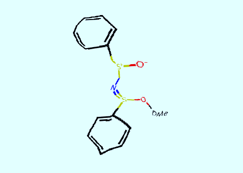 COOS(=N[S+]([O-])c1ccccc1)c1ccccc1